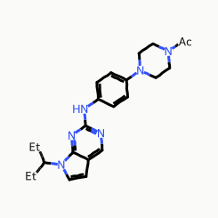 CCC(CC)n1ccc2cnc(Nc3ccc(N4CCN(C(C)=O)CC4)cc3)nc21